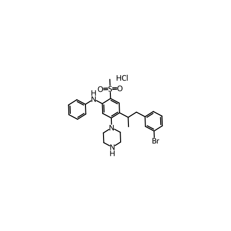 CC(Cc1cccc(Br)c1)c1cc(S(C)(=O)=O)c(Nc2ccccc2)cc1N1CCNCC1.Cl